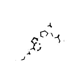 CCC(=O)O[C@H]1[C@@H](O)[C@H](c2ccc3c(NC(=O)OCOC(C)=O)ncnn23)O[C@@H]1COC(=O)[C@@H](N)C(C)C